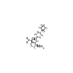 N[C@H]1CCCN(C(=O)C(F)F)[C@H]1CO[C@H]1CC[C@@H](c2ccccc2)CC1